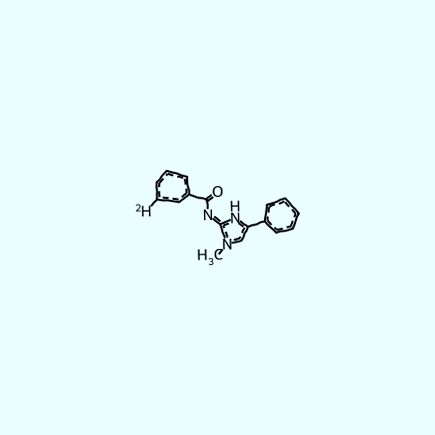 [2H]c1cccc(C(=O)N=c2[nH]c(-c3ccccc3)cn2C)c1